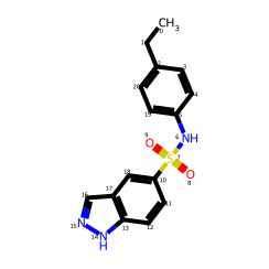 CCc1ccc(NS(=O)(=O)c2ccc3[nH]ncc3c2)cc1